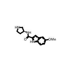 COc1ccc2[nH]c(C(=O)N[C@H]3CCNC3)cc2c1